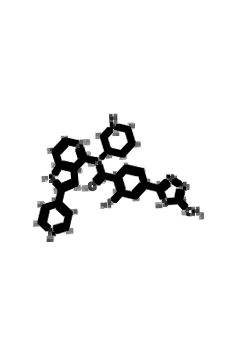 Cc1nnc(-c2ccc(C(=O)N(c3nccc4sc(-c5ccncc5)cc34)[C@@H]3CCCNC3)c(F)c2)s1